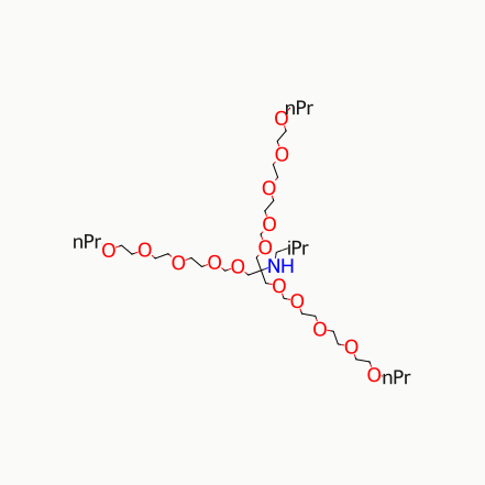 CCCOCCOCCOCCOCOCC(COCOCCOCCOCCOCCC)(COCOCCOCCOCCOCCC)NCC(C)C